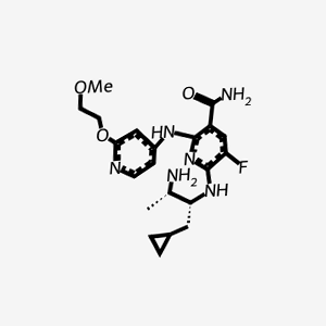 COCCOc1cc(Nc2nc(N[C@H](CC3CC3)[C@H](C)N)c(F)cc2C(N)=O)ccn1